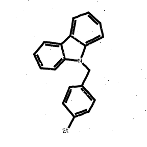 CCc1ccc(Cn2c3ccccc3c3ccccc32)cc1